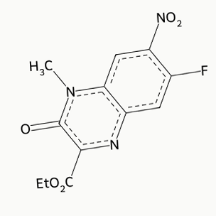 CCOC(=O)c1nc2cc(F)c([N+](=O)[O-])cc2n(C)c1=O